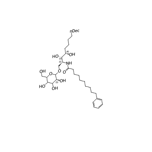 CCCCCCCCCCCCCC[C@@H](O)[C@@H](O)[C@H](COC1OC(CO)C(O)C(O)[C@@H]1O)NC(=O)CCCCCCCCCc1ccccc1